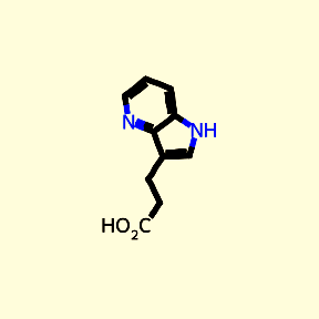 O=C(O)CCc1c[nH]c2cccnc12